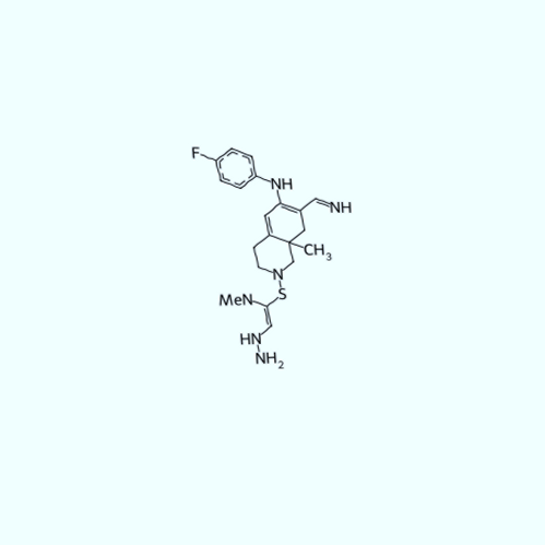 CN/C(=C\NN)SN1CCC2=CC(Nc3ccc(F)cc3)=C(C=N)CC2(C)C1